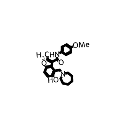 COc1ccc(NC(=O)c2c(C)oc3ccc(O)c(CN4CCCCCC4)c23)cc1